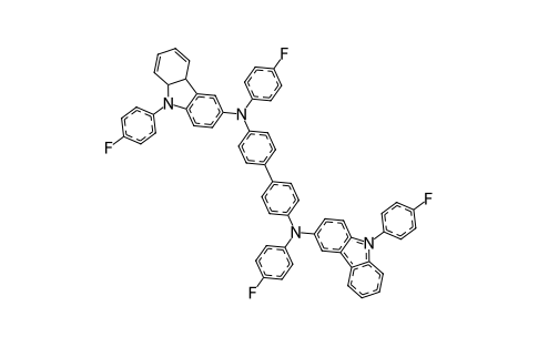 Fc1ccc(N(c2ccc(-c3ccc(N(c4ccc(F)cc4)c4ccc5c(c4)c4ccccc4n5-c4ccc(F)cc4)cc3)cc2)c2ccc3c(c2)C2C=CC=CC2N3c2ccc(F)cc2)cc1